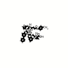 Cc1ccc(NC(=O)CCC(=O)N[C@H](Cc2cccs2)C(=O)N[C@@H](Cc2ccc(-c3ccccc3)cc2)C(=O)N[C@H](Cc2ccccc2)C(=O)NCC(=O)NC2(C(=O)O)CC2)cc1